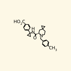 Cc1ccc(CN2CCC3(CC3)C[C@@H]2C(=O)NC2(c3ccc(C(=O)O)cc3)CC2)cc1